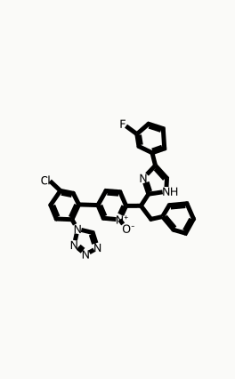 [O-][n+]1cc(-c2cc(Cl)ccc2-n2cnnn2)ccc1C(Cc1ccccc1)c1nc(-c2cccc(F)c2)c[nH]1